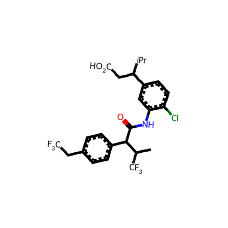 CC(C)C(CC(=O)O)c1ccc(Cl)c(NC(=O)C(c2ccc(CC(F)(F)F)cc2)C(C)C(F)(F)F)c1